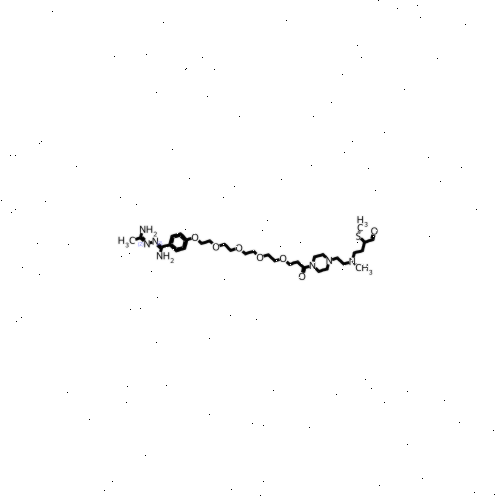 CSC(C=O)CCN(C)CCN1CCN(C(=O)CCOCCOCCOCCOCCOc2ccc(/C(N)=N/N=C(/C)N)cc2)CC1